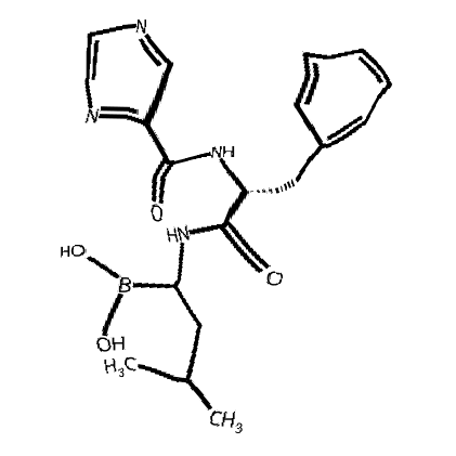 CC(C)CC(NC(=O)[C@@H](Cc1ccccc1)NC(=O)c1cnccn1)B(O)O